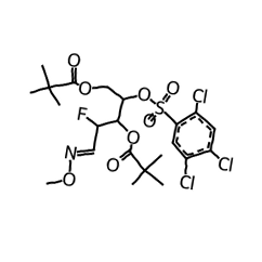 CON=CC(F)C(OC(=O)C(C)(C)C)C(COC(=O)C(C)(C)C)OS(=O)(=O)c1cc(Cl)c(Cl)cc1Cl